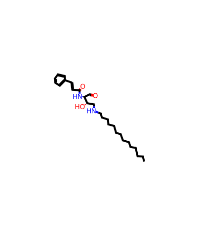 CCCCCCCCCCCCCCNC[C@H](O)[C@@H](C=O)NC(=O)/C=C/c1ccccc1